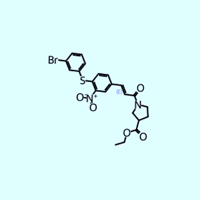 CCOC(=O)C1CCN(C(=O)/C=C/c2ccc(Sc3cccc(Br)c3)c([N+](=O)[O-])c2)C1